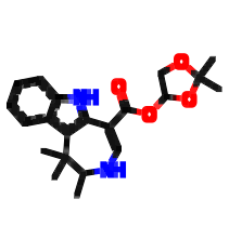 CC1NC=C(C(=O)OC2COC(C)(C)O2)c2[nH]c3ccccc3c2C1(C)C